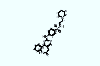 O=C1Cc2cnc(Nc3ccc(S(=O)(=O)NCCN4CCCCC4)cc3)nc2-c2ccccc2N1